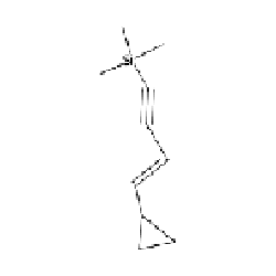 C[Si](C)(C)C#C/C=C/C1CC1